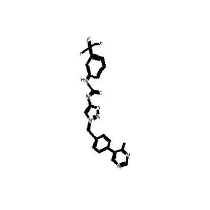 Cc1ncncc1-c1ccc(C[n+]2cc([N-]C(=O)Nc3cccc(C(F)(F)F)c3)on2)cc1